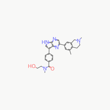 Cc1cc(-c2cnc3[nH]cc(-c4ccc(C(=O)N(C)CCO)cc4)c3n2)cc2c1CCN(C)C2